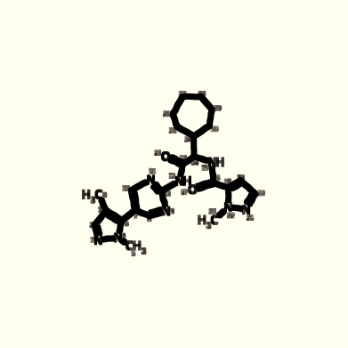 Cc1cnn(C)c1-c1cnc(NC(=O)C(NC(=O)c2ccnn2C)C2CCCCCC2)nc1